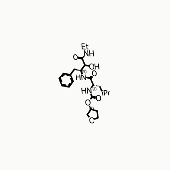 CCNC(=O)C(O)[C@H](Cc1ccccc1)NC(=O)[C@H](CC(C)C)NC(=O)O[C@H]1CCOC1